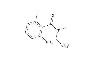 CN(CC(=O)O)C(=O)c1c(N)cccc1F